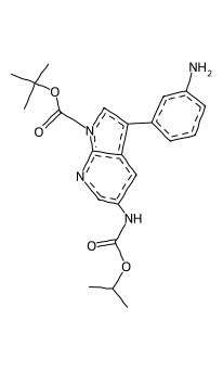 CC(C)OC(=O)Nc1cnc2c(c1)c(-c1cccc(N)c1)cn2C(=O)OC(C)(C)C